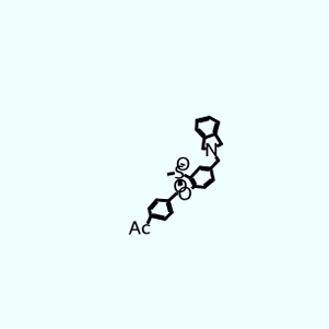 CC(=O)c1ccc(COc2ccc(CN3Cc4ccccc4C3)cc2S(C)(=O)=O)cc1